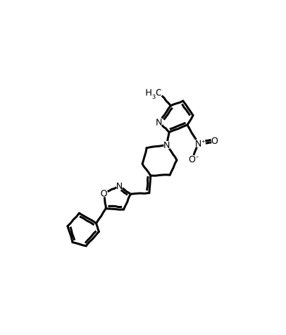 Cc1ccc([N+](=O)[O-])c(N2CCC(=Cc3cc(-c4ccccc4)on3)CC2)n1